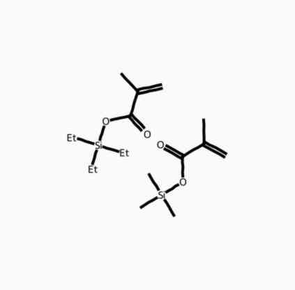 C=C(C)C(=O)O[Si](C)(C)C.C=C(C)C(=O)O[Si](CC)(CC)CC